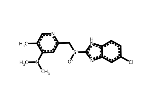 Cc1cnc(C[S+]([O-])c2nc3cc(Cl)ccc3[nH]2)cc1N(C)C